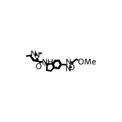 COCc1nc(-c2ccc3c(c2)CC[C@H]3NC(=O)c2cc(C)nn2C)no1